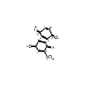 O=C1C=CC(=O)C([N+](=O)[O-])=C1.O=C1C=CC(=O)C=C1